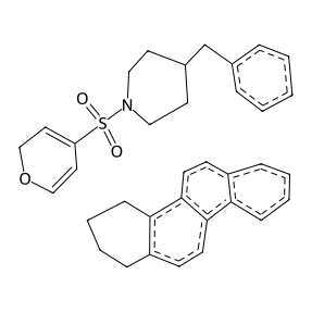 O=S(=O)(C1=CCOC=C1)N1CCC(Cc2ccccc2)CC1.c1ccc2c(c1)ccc1c3c(ccc12)CCCC3